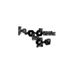 CC(=O)Nc1cc(Nc2cc(C)nc(C34COC(C3)C4)n2)c(-c2ccc(COC(F)F)cn2)cn1